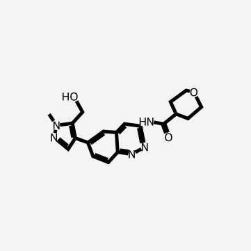 Cn1ncc(-c2ccc3nnc(NC(=O)C4CCOCC4)cc3c2)c1CO